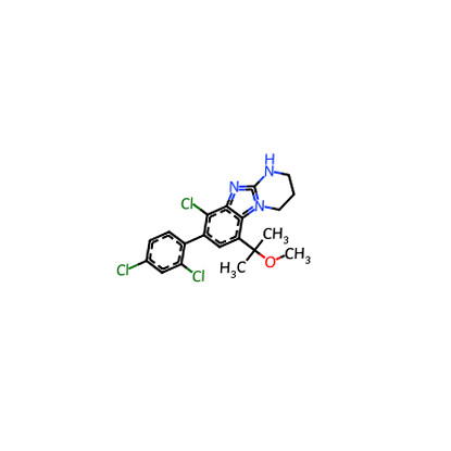 COC(C)(C)c1cc(-c2ccc(Cl)cc2Cl)c(Cl)c2nc3n(c12)CCCN3